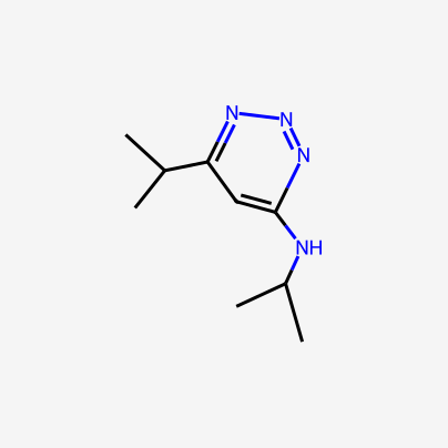 CC(C)Nc1cc(C(C)C)nnn1